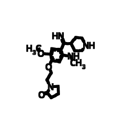 CNc1cc(OCCN2CCCC2=O)c(OC)cc1C(=N)C1CCNCC1